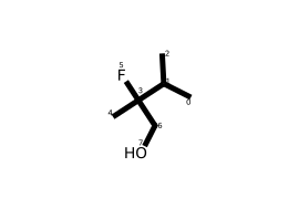 CC(C)C(C)(F)CO